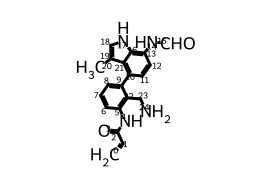 C=CC(=O)Nc1cccc(-c2ccc(NC=O)c3[nH]cc(C)c23)c1CN